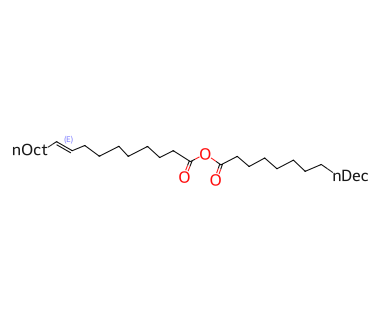 CCCCCCCC/C=C/CCCCCCCC(=O)OC(=O)CCCCCCCCCCCCCCCCC